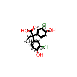 CCC(C(=O)O)(c1ccc(O)c(Cl)c1)c1ccc(O)c(Cl)c1